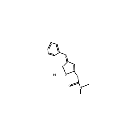 CN(C)C(=O)Sc1cc(=Nc2ccccc2)ss1.I